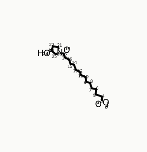 COC(=O)CCCCCCCCCCCCCCC(=O)N1CC[C@H](O)C1